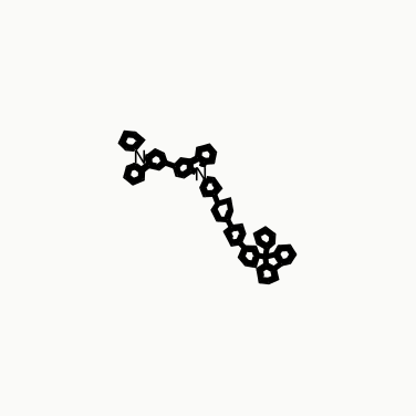 C1=CC(c2ccc(-n3c4ccccc4c4cc(-c5ccc6c(c5)c5ccccc5n6-c5ccccc5)ccc43)cc2)CC=C1c1ccc(-c2cccc(C3(c4ccccc4)c4ccccc4-c4ccccc43)c2)cc1